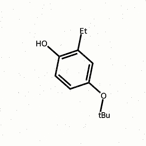 CCc1cc(OC(C)(C)C)ccc1O